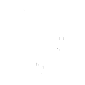 Cn1cc(-c2cnc3[nH]cc(-c4ccc(OC5CCOCC5)cc4)c3c2)cn1